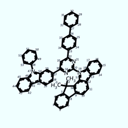 CC1(C)c2ccccc2-c2ccc3c4ccccc4n(-c4nc(-c5ccc(-c6ccccc6)cc5)cc(-c5ccc6c7ccccc7n(-c7ccccc7)c6c5)n4)c3c21